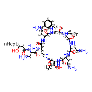 CCCCCCC[C@@H](O)CC(=O)N[C@H](CN)C(=O)N[C@H]1CCNC(=O)[C@H]([C@@H](C)O)NC(=O)[C@H](CCN)NC(=O)[C@H](CCN)NC(=O)[C@H](CC(C)C)NC(=O)[C@@H](Cc2ccccc2)NC(=O)[C@H](CCN)NC1=O